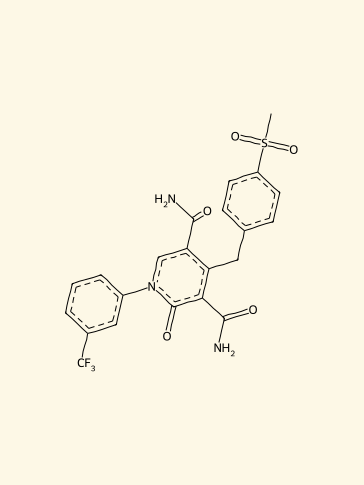 CS(=O)(=O)c1ccc(Cc2c(C(N)=O)cn(-c3cccc(C(F)(F)F)c3)c(=O)c2C(N)=O)cc1